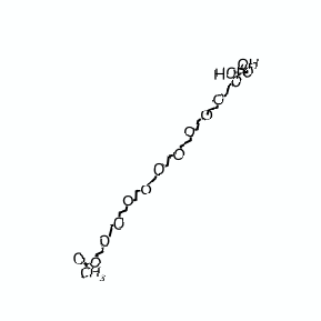 CC(=O)OCCOCCOCCOCCOCCOCCOCCOCCOCCOCCOP(=O)(O)O